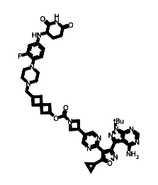 CC(C)(C)n1nc(-c2noc(C3CC3)c2-c2ncc(C3CN(C(=O)OC4CC5(CC(CN6CCN(c7ccc(NC8CCC(=O)NC8=O)cc7F)CC6)C5)C4)C3)cn2)c2c(N)ncnc21